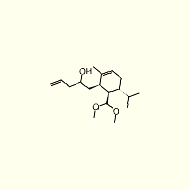 C=CCC(O)C[C@H]1C(C)=CC[C@H](C(C)C)[C@H]1C(OC)OC